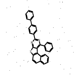 c1ccc(-c2ccc(-c3nc(-c4ccccc4)c4c(n3)sc3ccc5ccccc5c34)cc2)cc1